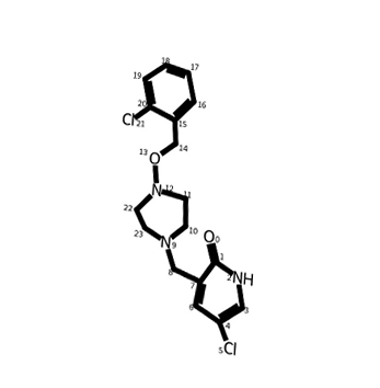 O=c1[nH]cc(Cl)cc1CN1CCN(OCc2ccccc2Cl)CC1